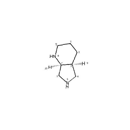 [CH]1CC[C@H]2CNC[C@H]2N1